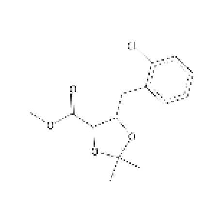 COC(=O)C1OC(C)(C)OC1Cc1ccccc1Cl